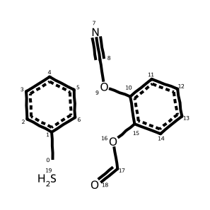 Cc1ccccc1.N#COc1ccccc1OC=O.S